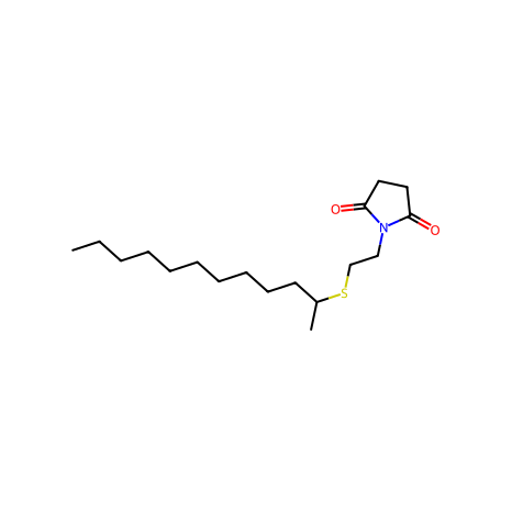 CCCCCCCCCCC(C)SCCN1C(=O)CCC1=O